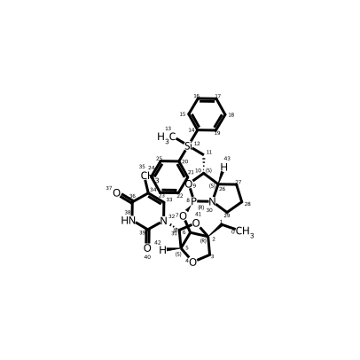 CC[C@@]12CO[C@@H](C1O[P@@]1O[C@H](C[Si](C)(c3ccccc3)c3ccccc3)[C@@H]3CCCN31)[C@H](n1cc(C)c(=O)[nH]c1=O)O2